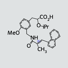 COc1ccc(CC(OC(C)C)C(=O)O)cc1CNC(=O)/C(C)=C/c1cccc2ccccc12